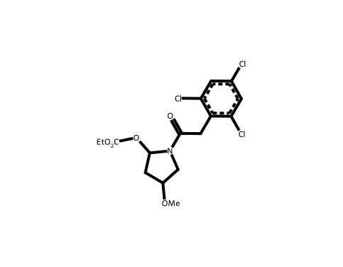 CCOC(=O)OC1CC(OC)CN1C(=O)Cc1c(Cl)cc(Cl)cc1Cl